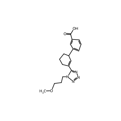 COCCCn1nnnc1C1=CC(c2cccc(C(=O)O)c2)CCC1